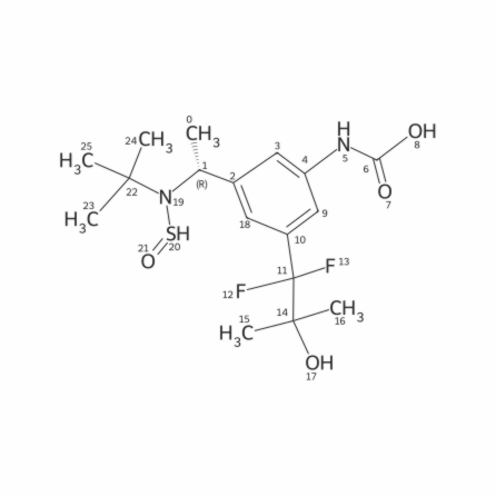 C[C@H](c1cc(NC(=O)O)cc(C(F)(F)C(C)(C)O)c1)N([SH]=O)C(C)(C)C